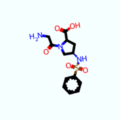 NCC(=O)N1C[C@H](NS(=O)(=O)c2ccccc2)CC1C(=O)O